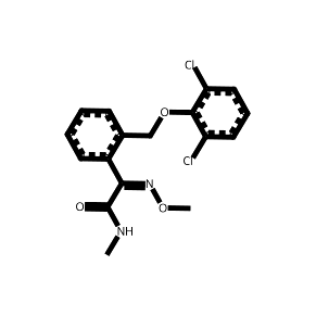 CNC(=O)/C(=N\OC)c1ccccc1COc1c(Cl)cccc1Cl